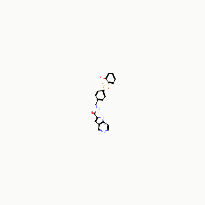 COc1ccccc1S(=O)(=O)c1ccc(CNC(=O)c2cc3cnccc3[nH]2)cc1